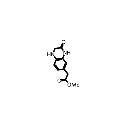 COC(=O)Cc1ccc2c(c1)NC(=O)CN2